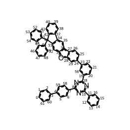 c1ccc(-c2ccc(-c3nc(-c4ccccc4)nc(-c4cccc(-c5ccc6c(c5)oc5cc7c(cc56)-c5ccccc5C7(c5ccccc5)c5ccccc5)c4)n3)cc2)cc1